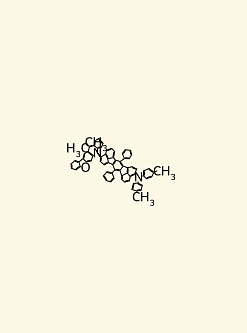 Cc1ccc(N(c2ccc(C)cc2)c2ccc3c4c(-c5ccccc5)c5c6cccc7c(N8c9ccccc9C(C)(C)c9cc%10c(cc98)oc8ccccc8%10)ccc(c5c(-c5ccccc5)c4c4cccc2c34)c76)cc1